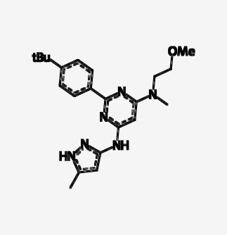 COCCN(C)c1cc(Nc2cc(C)[nH]n2)nc(-c2ccc(C(C)(C)C)cc2)n1